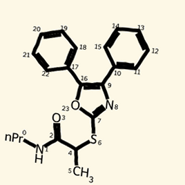 CCCNC(=O)C(C)Sc1nc(-c2ccccc2)c(-c2ccccc2)o1